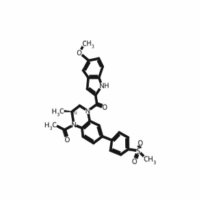 COc1ccc2[nH]c(C(=O)N3C[C@H](C)N(C(C)=O)c4ccc(-c5ccc(S(C)(=O)=O)cc5)cc43)cc2c1